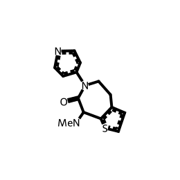 CNC1C(=O)N(c2ccncc2)CCc2ccsc21